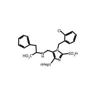 CCCCCCCc1nc(S(=O)(=O)O)n(Cc2ccccc2Cl)c1CNC(Cc1ccccc1)C(=O)O